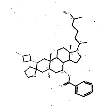 CC(CCC[C@@H](C)[C@H]1CCC2C3C(CC[C@@]21C)[C@@]1(C)CC([C@H]2C[C@@H](C)C2)C2(C[C@@H]1C[C@H]3OC(=O)c1ccccc1)OCCO2)C(=O)O